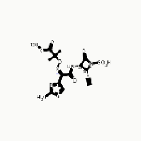 C#C[C@@H]1[C@H](NC(=O)/C(=N\OC(C)(C)C(=O)OC(C)(C)C)c2csc(N)n2)C(=O)N1S(=O)(=O)O